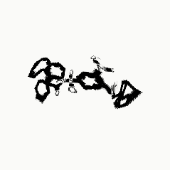 O=C(NS(=O)(=O)c1ccc(NCC23CC4CC(CC(C4)C2)C3)c([N+](=O)[O-])c1)C1(c2cccc3ccccc23)CCCCC1